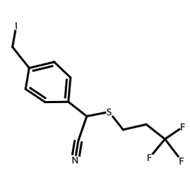 N#CC(SCCC(F)(F)F)c1ccc(CI)cc1